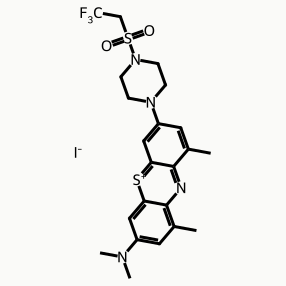 Cc1cc(N(C)C)cc2[s+]c3cc(N4CCN(S(=O)(=O)CC(F)(F)F)CC4)cc(C)c3nc12.[I-]